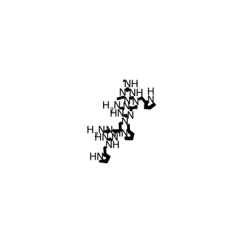 CNC1=NC(C)N=C(N(Cc2ccc[nH]2)CC2N=C(N)NC(N(CCC3N=C(N)NC(NCc4ccc[nH]4)=N3)Cc3ccc[nH]3)=N2)N1